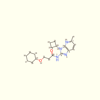 Cc1ccc2nc(NC(=O)CCOC3CCCCC3)n(C3CCC3)c2n1